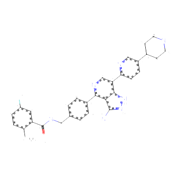 COc1ccc(F)cc1C(=O)NCc1ccc(-c2ncc(-c3ccc(C4CCNCC4)cn3)c3[nH]nc(N)c23)cc1